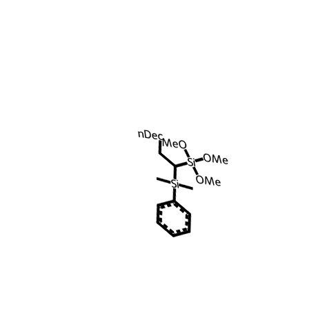 CCCCCCCCCCCC([Si](OC)(OC)OC)[Si](C)(C)c1ccccc1